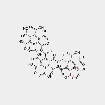 CC(C)CCOC(=O)c1c(C(=O)O)c(C(=O)O)c(C(=O)O)c(C(=O)OC(=O)c2c(C(=O)O)c(C(=O)O)c(C(=O)O)c(C(=O)O)c2C(=O)O)c1C(=O)OC(=O)c1c(C(=O)O)c(C(=O)O)c(C(=O)O)c(C(=O)O)c1C(=O)O